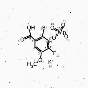 COc1cc(C(=O)O)c(Br)cc1F.[K+].[O]=[Mn](=[O])(=[O])[O-]